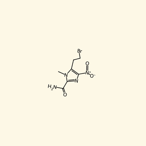 Cn1c(C(N)=O)nc([N+](=O)[O-])c1CCBr